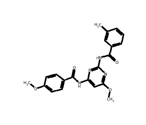 COc1ccc(C(=O)Nc2cc(OC)nc(NC(=O)c3cccc(C)c3)n2)cc1